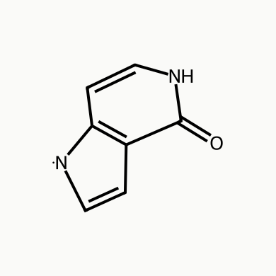 O=c1[nH]ccc2c1C=C[N]2